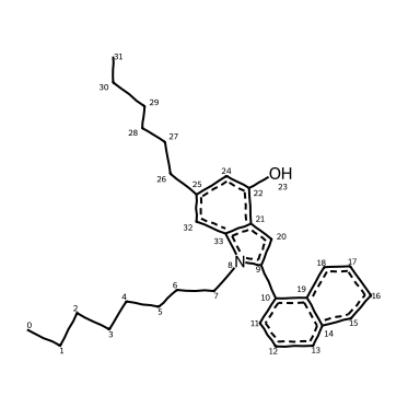 CCCCCCCCn1c(-c2cccc3ccccc23)cc2c(O)cc(CCCCCC)cc21